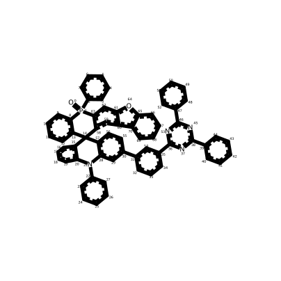 O=P1(c2ccccc2)c2ccccc2C2(c3ccccc3N(c3ccccc3)c3cc(-c4cccc(-c5nc(-c6ccccc6)nc(-c6ccccc6)n5)c4)ccc32)c2cc3c(cc21)oc1ccccc13